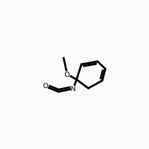 COC1(N=C=O)C=CC=CC1